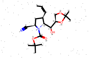 C/C=C\[C@@H]1C[C@H](C#N)N(C(=O)OC(C)(C)C)[C@H]1[C@H](O)[C@H]1COC(C)(C)O1